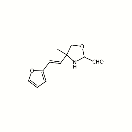 CC1(C=Cc2ccco2)COC(C=O)N1